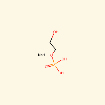 O=P(O)(O)OCCO.[NaH]